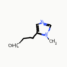 Cn1cncc1CCC=O